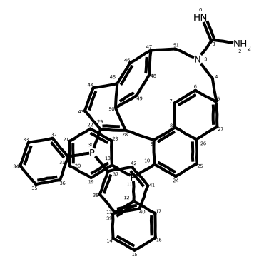 N=C(N)N1Cc2ccc3c(c(P(c4ccccc4)c4ccccc4)ccc3c2)-c2c(P(c3ccccc3)c3ccccc3)ccc3cc(ccc23)C1